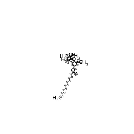 CCCCCCCCCCCCCC(=O)OCc1ccc(O[Si](C)(C)C(C)(C)C)c(OC)c1